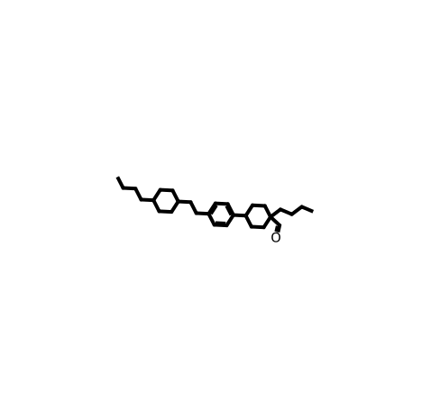 CCCCC1CCC(CCc2ccc(C3CCC(C=O)(CCCC)CC3)cc2)CC1